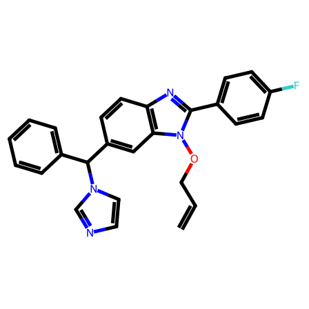 C=CCOn1c(-c2ccc(F)cc2)nc2ccc(C(c3ccccc3)n3ccnc3)cc21